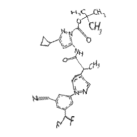 CC(C(=O)Nc1cc(C2CC2)nn1C(=O)OC(C)(C)C)c1cnn(-c2cc(C#N)cc(C(F)F)c2)c1